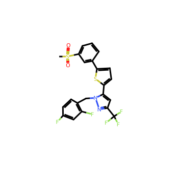 CS(=O)(=O)c1cccc(-c2ccc(-c3cc(C(F)(F)F)nn3Cc3ccc(F)cc3F)s2)c1